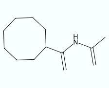 C=C(C)NC(=C)C1CCCCCCC1